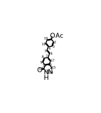 CC(=O)Oc1ccc(/C=C/c2ccc3c(=O)[nH]ncc3c2)cc1